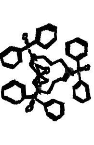 O=P(c1ccccc1)(c1ccccc1)N(CCCN(CC1CO1)P(=O)(c1ccccc1)c1ccccc1)CCCN(CC1CO1)P(=O)(c1ccccc1)c1ccccc1